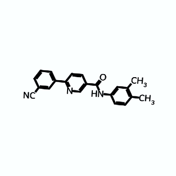 Cc1ccc(NC(=O)c2ccc(-c3cccc(C#N)c3)nc2)cc1C